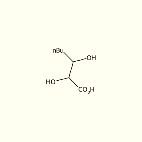 CCCCC(O)C(O)C(=O)O